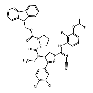 CCN(C(=O)[C@H]1CCCN1C(=O)OCC1c2ccccc2-c2ccccc21)C1CN(/C(=N\C#N)Nc2cccc(OC(F)F)c2F)N=C1c1ccc(Cl)c(Cl)c1